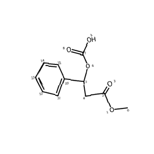 COC(=O)CC(OC(=O)O)c1ccccc1